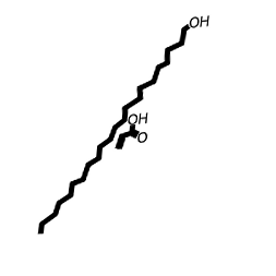 C=CC(=O)O.CCCCCCCCCCCCCCCCCCCCCCO